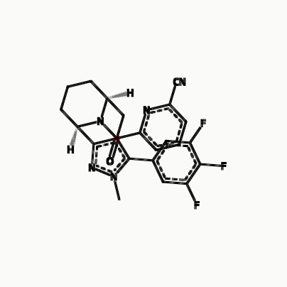 Cn1nc2c(c1-c1cc(F)c(F)c(F)c1)C[C@@H]1CCC[C@H]2N1C(=O)c1cccc(C#N)n1